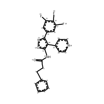 O=C(CCc1ccccc1)Nc1onc(-c2cc(F)c(F)c(F)c2)c1-c1ccncc1